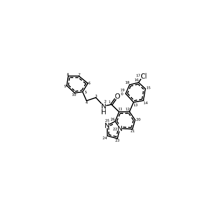 O=C(NCCc1ccccc1)c1c(-c2ccc(Cl)cc2)ccn2ccnc12